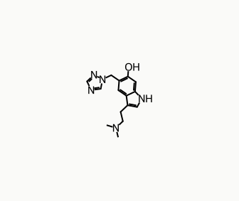 CN(C)CCc1c[nH]c2cc(O)c(Cn3cncn3)cc12